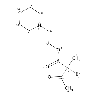 CC(=O)C(C)(Br)C(=O)OCCN1CCOCC1